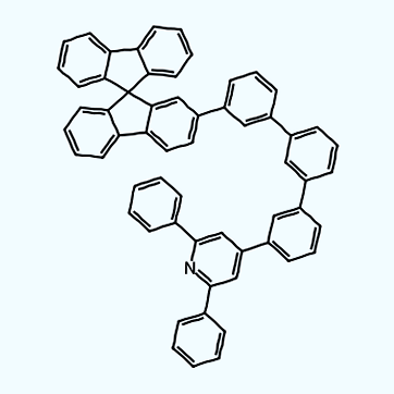 c1ccc(-c2cc(-c3cccc(-c4cccc(-c5cccc(-c6ccc7c(c6)C6(c8ccccc8-c8ccccc86)c6ccccc6-7)c5)c4)c3)cc(-c3ccccc3)n2)cc1